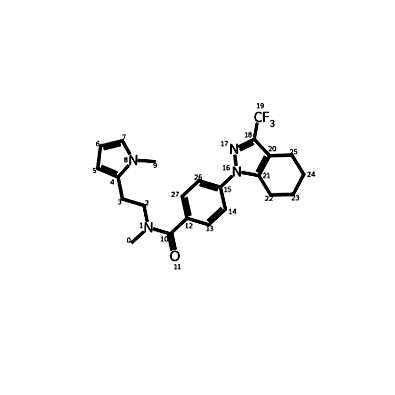 CN(CCc1cccn1C)C(=O)c1ccc(-n2nc(C(F)(F)F)c3c2CCCC3)cc1